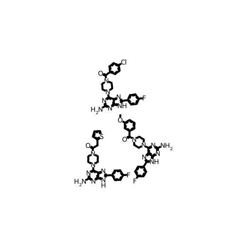 COc1cccc(C(=O)N2CCN(c3nc(N)nc4[nH]c(-c5ccc(F)cc5)nc34)CC2)c1.Nc1nc(N2CCN(C(=O)Cc3cccs3)CC2)c2nc(-c3ccc(F)cc3)[nH]c2n1.Nc1nc(N2CCN(C(=O)c3ccc(Cl)cc3)CC2)c2nc(-c3ccc(F)cc3)[nH]c2n1